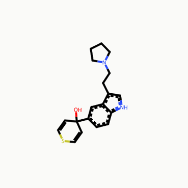 OC1(c2ccc3[nH]cc(CCN4CCCC4)c3c2)C=CSC=C1